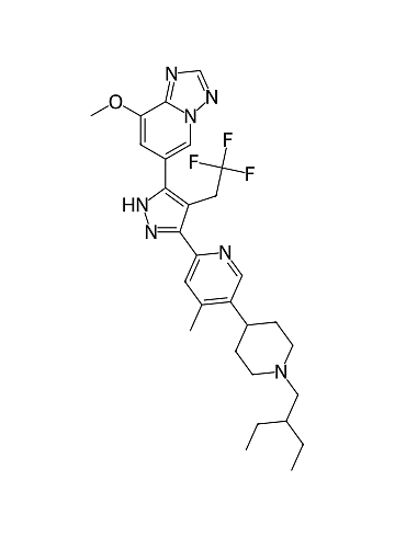 CCC(CC)CN1CCC(c2cnc(-c3n[nH]c(-c4cc(OC)c5ncnn5c4)c3CC(F)(F)F)cc2C)CC1